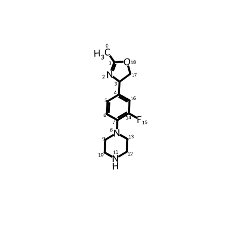 CC1=NC(c2ccc(N3CCNCC3)c(F)c2)CO1